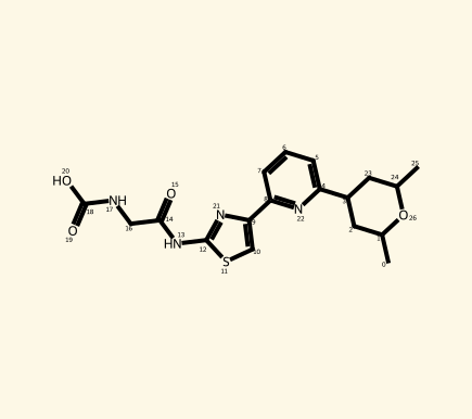 CC1CC(c2cccc(-c3csc(NC(=O)CNC(=O)O)n3)n2)CC(C)O1